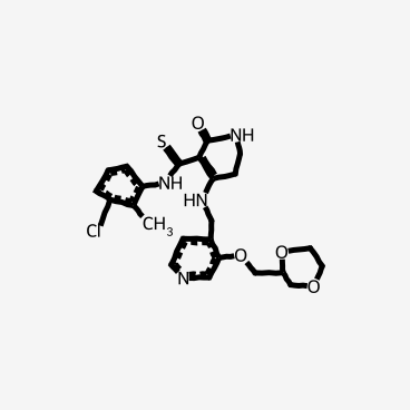 Cc1c(Cl)cccc1NC(=S)C1=C(NCc2ccncc2OCC2COCCO2)CCNC1=O